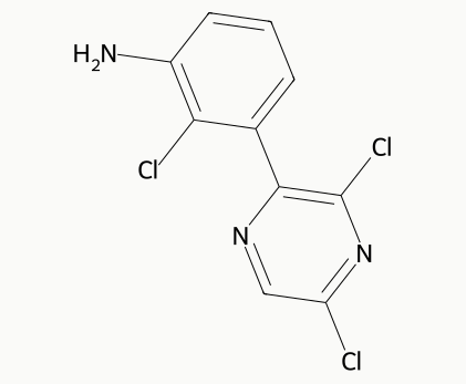 Nc1cccc(-c2ncc(Cl)nc2Cl)c1Cl